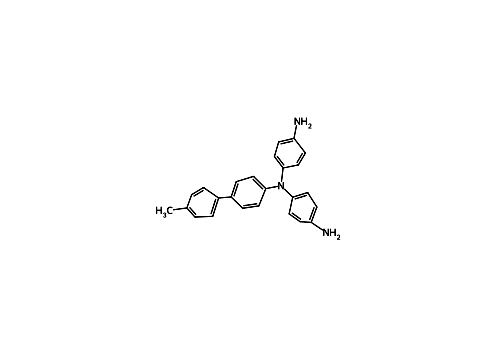 Cc1ccc(-c2ccc(N(c3ccc(N)cc3)c3ccc(N)cc3)cc2)cc1